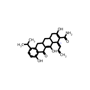 C=C/C=C1/C(C(N)=O)=C(O)CC2CC3Cc4c(C(C)C)ccc(O)c4C(=O)C3=C(O)C12